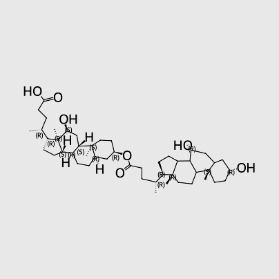 C[C@H](CCC(=O)O)[C@H]1CC[C@H]2[C@@H]3CC[C@@H]4C[C@H](OC(=O)CC[C@@H](C)[C@H]5CCC6C7C(CC[C@@]65C)[C@@]5(C)CC[C@@H](O)CC5C[C@H]7O)CC[C@]4(C)[C@H]3C[C@H](O)[C@]12C